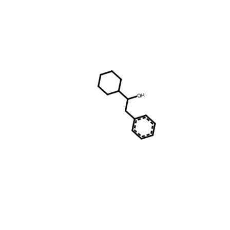 OC(Cc1ccccc1)C1CCCCC1